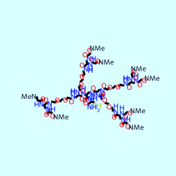 CNCCC(=O)NC(CNC(=O)CONC)C(=O)NCCOCCOCC(=O)NCC(NC(=O)COCCOCCNC(=O)C(CNC(=O)CONC)NC(=O)CONC)C(=O)NC(CNC(=O)C(CNC(=O)COCCOCCNC(=O)C(CNC(=O)CONC)NC(=O)CONC)NC(=O)COCCOCCNC(=O)C(CNC(=O)CONC)NC(=O)CONC)C(=O)NC(CS)C(N)=O